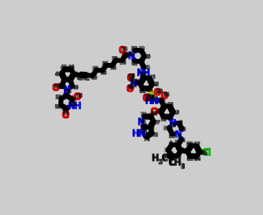 CC1(C)CCC(CN2CCN(c3ccc(C(=O)NS(=O)(=O)c4ccc(NCC5CCCN(C(=O)CCCCCCCC#Cc6cccc7c6CN(C6CCC(=O)NC6=O)C7=O)C5)c([N+](=O)[O-])c4)c(Oc4cnc5[nH]ccc5c4)c3)CC2)=C(c2ccc(Cl)cc2)C1